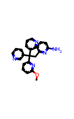 COc1cccc(C(Cc2cccc(N)n2)(c2cccnc2)c2cccnc2)n1